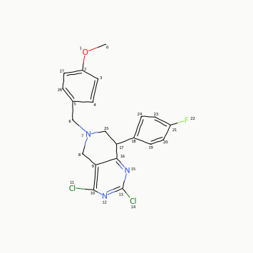 COc1ccc(CN2Cc3c(Cl)nc(Cl)nc3C(c3ccc(F)cc3)C2)cc1